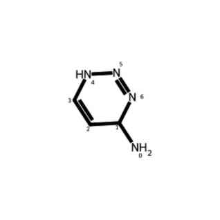 N[C]1C=CNN=N1